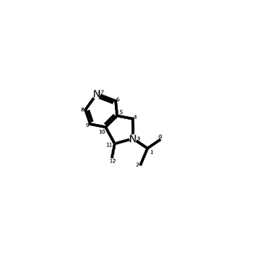 CC(C)N1Cc2cnccc2C1C